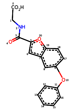 O=C(O)CNC(=O)c1cc2cc(Oc3ccccc3)ccc2o1